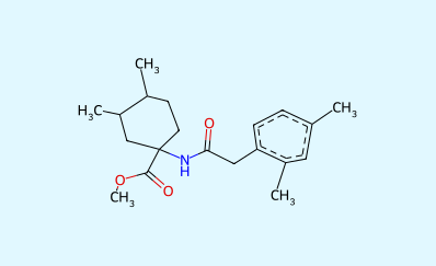 COC(=O)C1(NC(=O)Cc2ccc(C)cc2C)CCC(C)C(C)C1